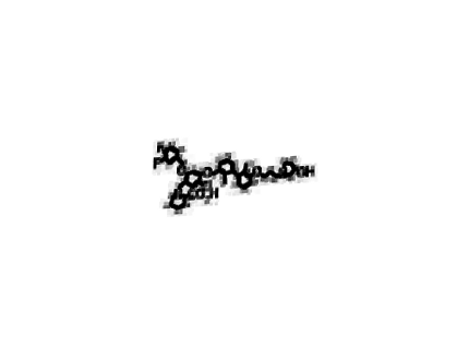 Cc1c(COc2cc(OCc3ccc(F)c(F)c3)c(CN3CCCCC3C(=O)O)cc2Cl)cccc1-c1cccc(OCCCN2CCC(O)C2)c1C